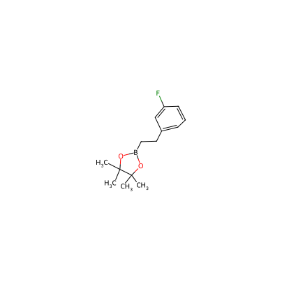 CC1(C)OB(CCc2cccc(F)c2)OC1(C)C